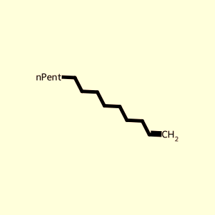 [CH2]CCCCCCCCCCCC=C